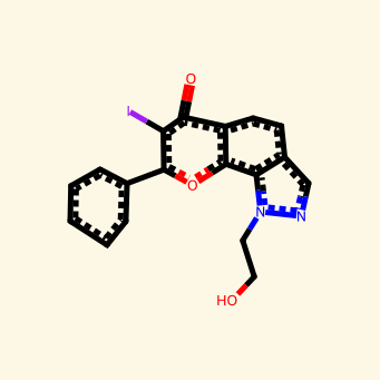 O=c1c(I)c(-c2ccccc2)oc2c1ccc1cnn(CCO)c12